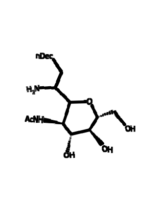 CCCCCCCCCCCC(N)C1O[C@H](CO)[C@@H](O)[C@H](O)[C@H]1NC(C)=O